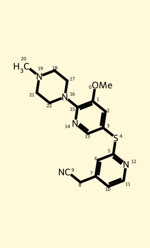 COc1cc(Sc2cc(CC#N)ccn2)cnc1N1CCN(C)CC1